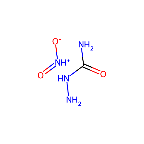 NNC(N)=O.O=[NH+][O-]